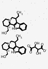 CCC1C[N+]2=C(c3[nH]c4ccccc4c31)[C@@H](CO)CCC2.CCC1C[N+]2=C(c3[nH]c4ccccc4c31)[C@@H](CO)CCC2.O=C([O-])C(O)C(O)C(=O)[O-]